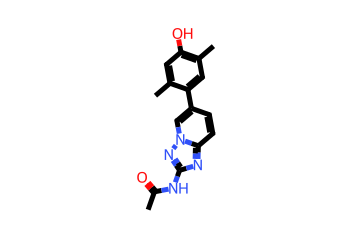 CC(=O)Nc1nc2ccc(-c3cc(C)c(O)cc3C)cn2n1